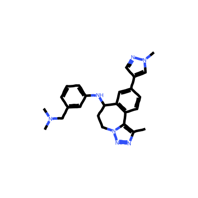 Cc1nnn2c1-c1ccc(-c3cnn(C)c3)cc1C(Nc1cccc(CN(C)C)c1)CC2